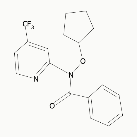 O=C(c1ccccc1)N(OC1CCCC1)c1cc(C(F)(F)F)ccn1